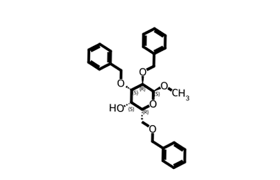 CO[C@H]1O[C@H](COCc2ccccc2)[C@H](O)[C@H](OCc2ccccc2)[C@H]1OCc1ccccc1